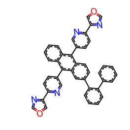 c1ccc(-c2ccccc2-c2ccc3c(-c4ccc(-c5cocn5)nc4)c4ccccc4c(-c4ccc(-c5cocn5)nc4)c3c2)cc1